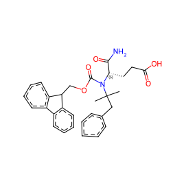 CC(C)(Cc1ccccc1)N(C(=O)OCC1c2ccccc2-c2ccccc21)[C@@H](CCC(=O)O)C(N)=O